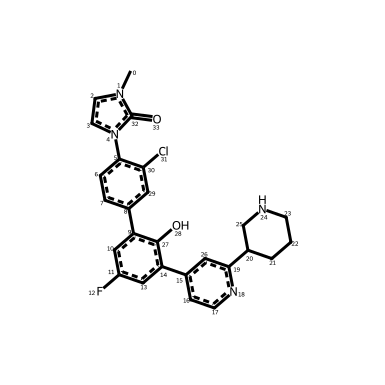 Cn1ccn(-c2ccc(-c3cc(F)cc(-c4ccnc(C5CCCNC5)c4)c3O)cc2Cl)c1=O